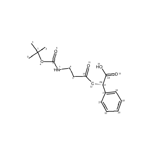 CC(C)(C)OC(=O)NCCC(=O)O[C@H](C(=O)O)c1ccccc1